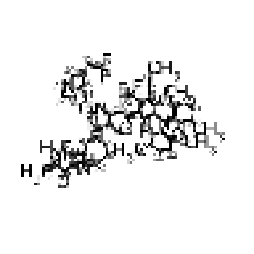 CC#Cc1cc(N(c2cc(C)ccc2OC)c2cc(C)ccc2OC)c(F)c(C2Cc3nc(OC[C@]45CCCN4C[C@@H](C=C(F)F)C5)nc(N4CCCn5nc(C(=O)N(C)C)c(C)c5C4)c3CO2)c1C(F)(F)F